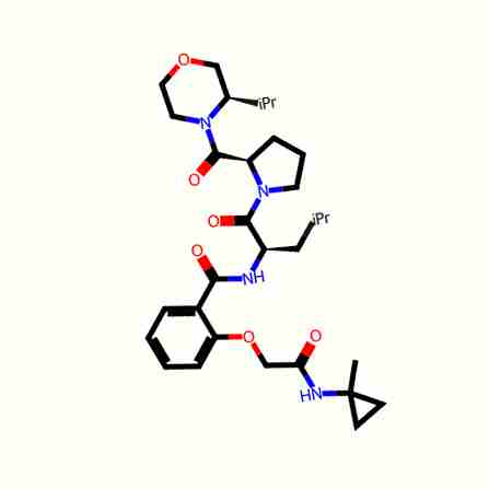 CC(C)C[C@@H](NC(=O)c1ccccc1OCC(=O)NC1(C)CC1)C(=O)N1CCC[C@@H]1C(=O)N1CCOC[C@H]1C(C)C